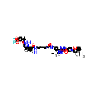 Cc1ccc(NC(=O)C2(c3ccc4c(c3)OC(F)(F)O4)CC2)nc1-c1cccc(C(=O)NCCCCCCCCC(=O)NCc2ccc(-c3c4ncn(CC5(O)CCN(C(=O)C[C@@H](C)c6ccccc6)CC5)c(=O)c4nn3C)cc2)c1